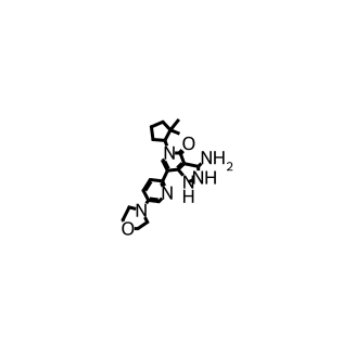 CC1(C)CCCC1n1cc(-c2ccc(N3CCOCC3)cn2)c2c(c1=O)C(N)NN2